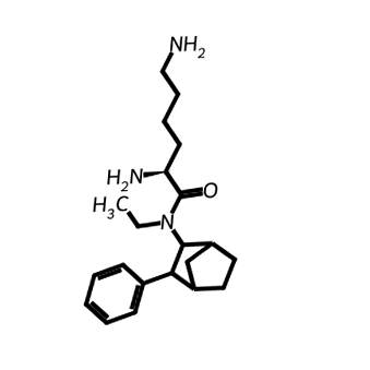 CCN(C(=O)[C@@H](N)CCCCN)C1C2CCC(C2)C1c1ccccc1